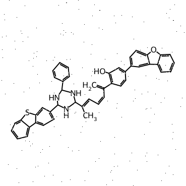 C=C(/C=C\C=C(/C)C1NC(c2ccccc2)NC(c2ccc3c(c2)sc2ccccc23)N1)c1ccc(-c2ccc3oc4ccccc4c3c2)cc1O